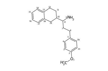 COc1ccc(CCC(N)C2CCc3ccccc3C2)cc1